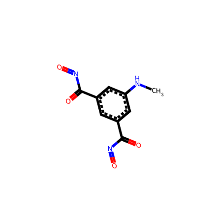 CNc1cc(C(=O)N=O)cc(C(=O)N=O)c1